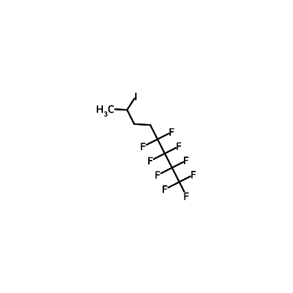 CC(I)CCC(F)(F)C(F)(F)C(F)(F)C(F)(F)F